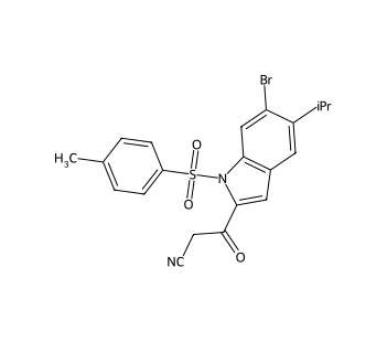 Cc1ccc(S(=O)(=O)n2c(C(=O)CC#N)cc3cc(C(C)C)c(Br)cc32)cc1